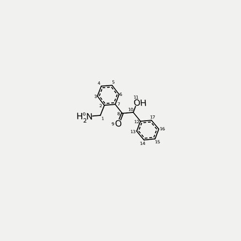 NCc1ccccc1C(=O)C(O)c1ccccc1